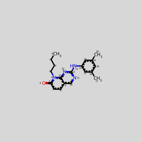 CCCCn1c(=O)ccc2cnc(Nc3cc(C)cc(C)c3)nc21